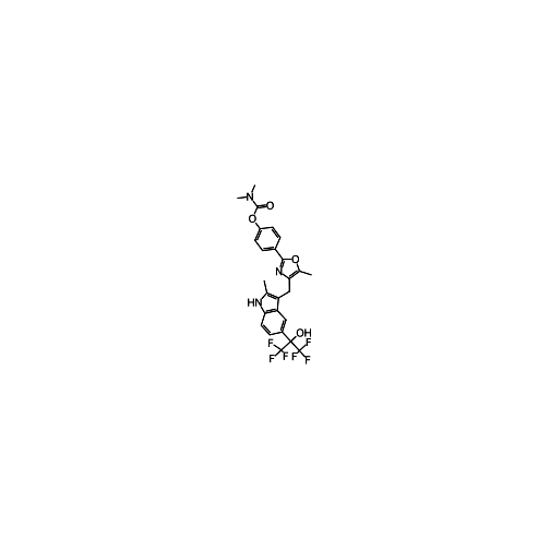 Cc1[nH]c2ccc(C(O)(C(F)(F)F)C(F)(F)F)cc2c1Cc1nc(-c2ccc(OC(=O)N(C)C)cc2)oc1C